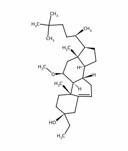 CC[C@]1(O)CC[C@@]2(C)C(=CC[C@@H]3[C@@H]2[C@@H](OC)C[C@]2(C)[C@@H]([C@H](C)CCC(C)(C)C)CC[C@@H]32)C1